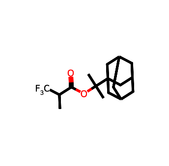 CC(C(=O)OC(C)(C)C12CC3CC(CC(C3)C1)C2)C(F)(F)F